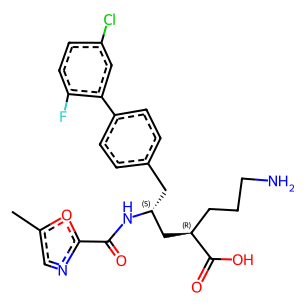 Cc1cnc(C(=O)N[C@H](Cc2ccc(-c3cc(Cl)ccc3F)cc2)C[C@@H](CCCN)C(=O)O)o1